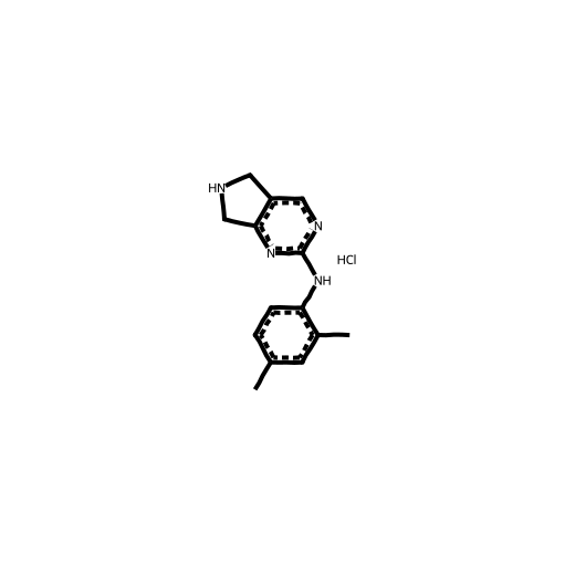 Cc1ccc(Nc2ncc3c(n2)CNC3)c(C)c1.Cl